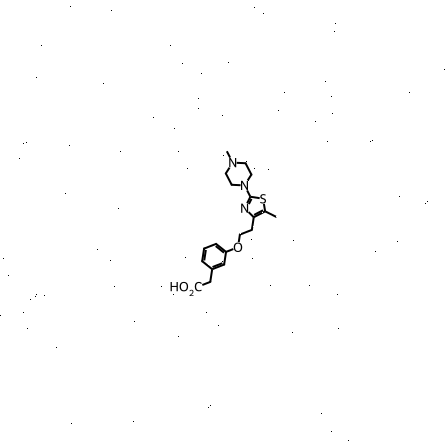 Cc1sc(N2CCN(C)CC2)nc1CCOc1cccc(CC(=O)O)c1